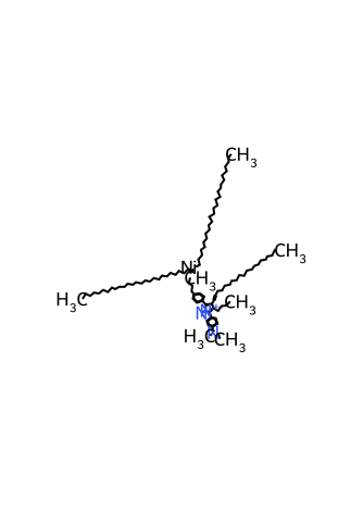 CCCCCCCCCCCCCCCCCCC#CC1=C(c2ccc(CCCC)cc2)[N+](=[N-])C(c2ccc(N(C)CC)cc2)=C1CCCC.CCCCCCCCCCCCCCCCCCCCCCCCCC[CH2][Ni][CH2]CCCCCCCCCCCCCCCCCCCCCCCCCC